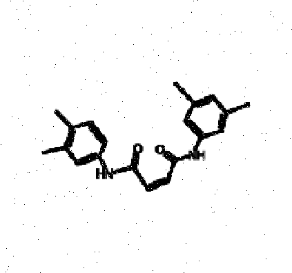 Cc1cc(C)cc(NC(=O)/C=C\C(=O)Nc2ccc(C)c(C)c2)c1